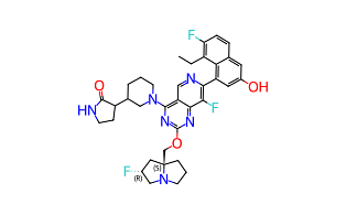 CCc1c(F)ccc2cc(O)cc(-c3ncc4c(N5CCCC(C6CCNC6=O)C5)nc(OC[C@@]56CCCN5C[C@H](F)C6)nc4c3F)c12